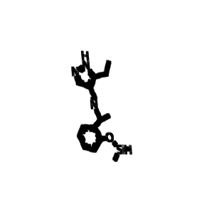 CCc1[nH]ncc1C=NC(C)c1ccccc1O[SiH](C)C